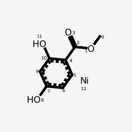 COC(=O)c1ccc(O)cc1O.[Ni]